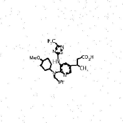 COC1CCC(N(CC(C)C)c2ncc(C(C)CC(=O)O)cc2Nc2nc(C(F)(F)F)ns2)CC1